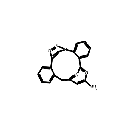 Nc1cc2nc(n1)-c1ccccc1-n1cc(nn1)-c1ccccc1C2